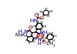 COc1cccc(C(=O)NS(=O)(=O)c2ccccc2C)c1C(C(N)=O)c1c[nH]c2ccc(NC(=O)OC3CCCC3)cc12